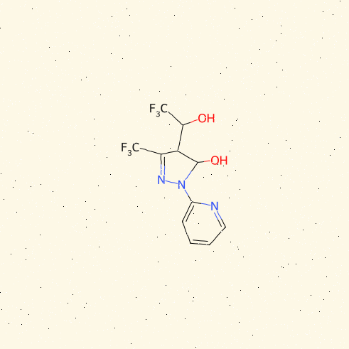 OC1C(C(O)C(F)(F)F)C(C(F)(F)F)=NN1c1ccccn1